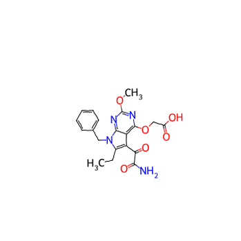 CCc1c(C(=O)C(N)=O)c2c(OCC(=O)O)nc(OC)nc2n1Cc1ccccc1